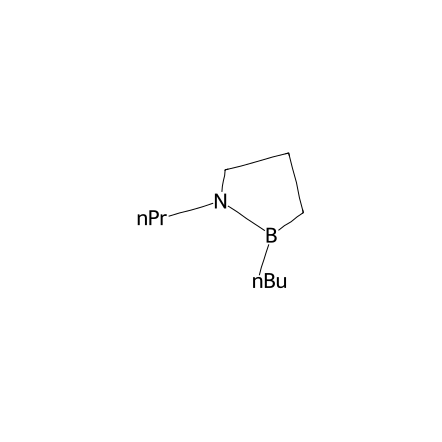 CCCCB1CCCN1CCC